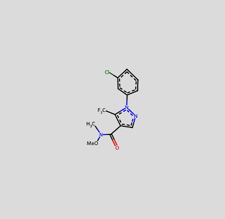 CON(C)C(=O)c1cnn(-c2cccc(Cl)c2)c1C(F)(F)F